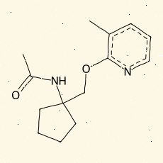 CC(=O)NC1(COc2ncccc2C)CCCC1